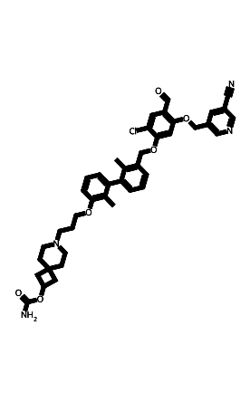 Cc1c(COc2cc(OCc3cncc(C#N)c3)c(C=O)cc2Cl)cccc1-c1cccc(OCCCN2CCC3(CC2)CC(OC(N)=O)C3)c1C